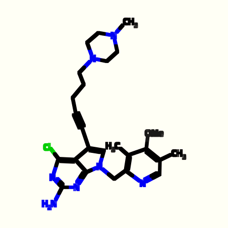 COc1c(C)cnc(Cn2cc(C#CCCCN3CCN(C)CC3)c3c(Cl)nc(N)nc32)c1C